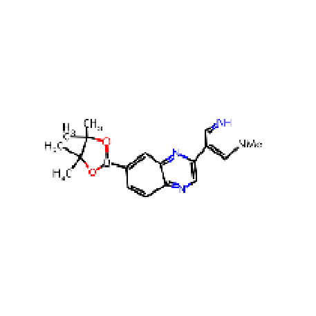 CN/C=C(\C=N)c1cnc2ccc(B3OC(C)(C)C(C)(C)O3)cc2n1